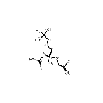 C=C(C)COC(C)(COOC(C)(C)C)OC(=O)O